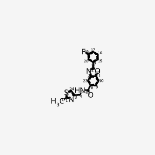 Cc1nc(CNC(=O)c2ccc3oc(-c4cccc(F)c4)nc3c2)cs1